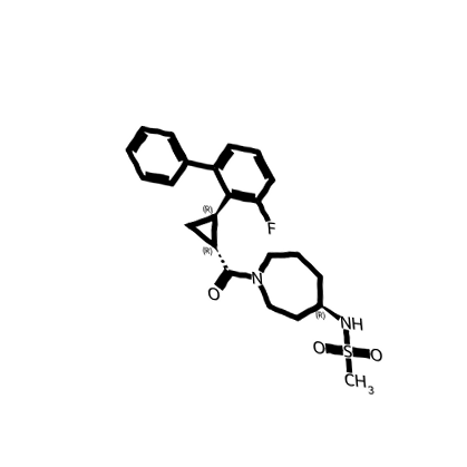 CS(=O)(=O)N[C@@H]1CCCN(C(=O)[C@@H]2C[C@H]2c2c(F)cccc2-c2ccccc2)CC1